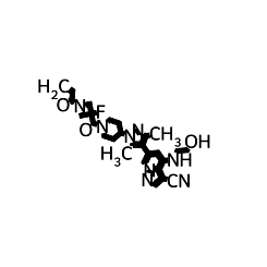 C=CC(=O)N1CC(F)(C(=O)N2CCC(n3nc(C)c(-c4cc(NCCO)c5c(C#N)cnn5c4)c3C)CC2)C1